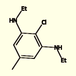 CCNc1cc(C)cc(NCC)c1Cl